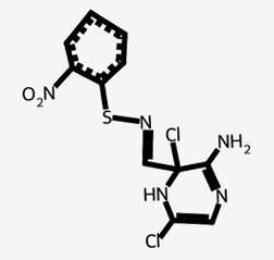 NC1=NC=C(Cl)NC1(Cl)/C=N/Sc1ccccc1[N+](=O)[O-]